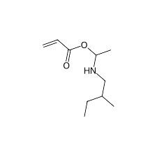 C=CC(=O)OC(C)NCC(C)CC